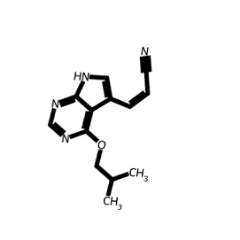 CC(C)COc1ncnc2[nH]cc(/C=C\C#N)c12